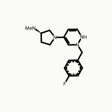 CN[C@@H]1CCN(C2=CN(Cc3ccc(F)cc3)NC=C2)C1